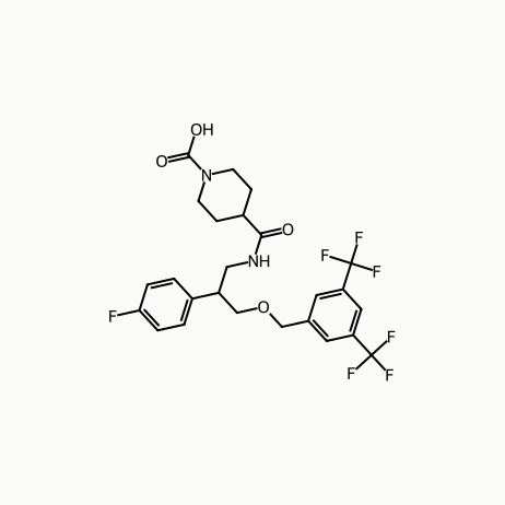 O=C(NCC(COCc1cc(C(F)(F)F)cc(C(F)(F)F)c1)c1ccc(F)cc1)C1CCN(C(=O)O)CC1